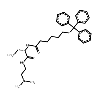 CN(C)CCNC(=O)[C@H](CC(=O)O)NC(=O)CCCCCSC(c1ccccc1)(c1ccccc1)c1ccccc1